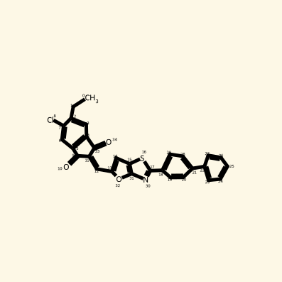 CCc1cc2c(cc1Cl)C(=O)/C(=C/c1cc3sc(-c4ccc(-c5ccccc5)cc4)nc3o1)C2=O